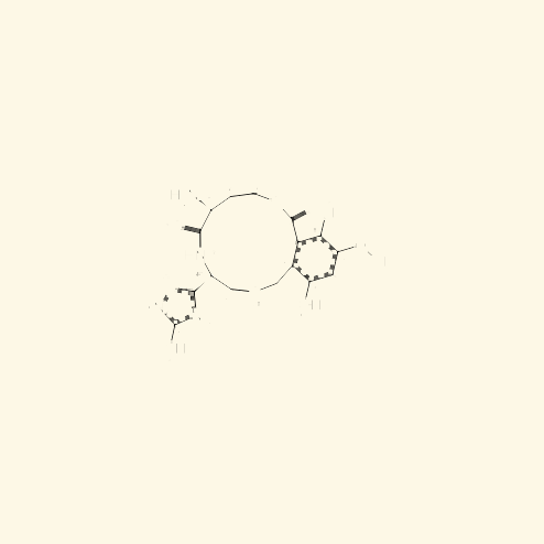 COc1cc(O)c2c(c1C)C(=O)OCC[C@H](N)C(=O)N[C@H](c1nc(C)no1)CSC2